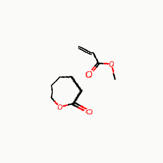 C=CC(=O)OC.O=C1CCCCCO1